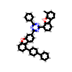 Cc1cccc2c1oc1c(-c3nc(-c4ccccc4)nc(-c4ccc5c(c4)oc4cccc(-c6ccc(-c7ccccc7)cc6)c45)n3)cccc12